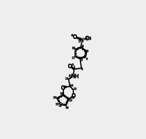 O=C(Cc1ccc([N+](=O)[O-])cc1)NCC1COc2cscc2O1